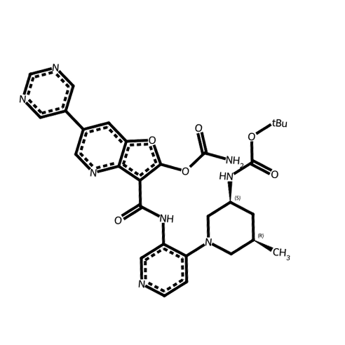 C[C@@H]1C[C@H](NC(=O)OC(C)(C)C)CN(c2ccncc2NC(=O)c2c(OC(N)=O)oc3cc(-c4cncnc4)cnc23)C1